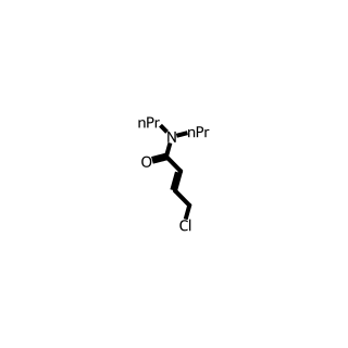 CCCN(CCC)C(=O)/C=C/CCl